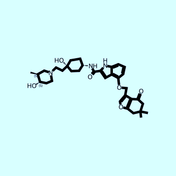 C[C@H]1CN(CC[C@]2(O)CC[C@@H](NC(=O)c3cc4c(OCc5coc6c5C(=O)CC(C)(C)C6)cccc4[nH]3)CC2)CC[C@@H]1O